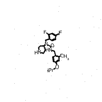 Cc1cc(OC(C)C)ccc1CNC(=O)N(Cc1ccc(F)cc1F)C1CCNCC1